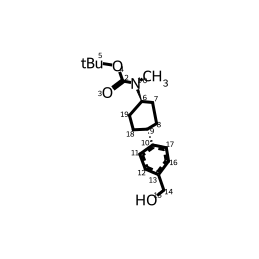 CN(C(=O)OC(C)(C)C)[C@H]1CC[C@H](c2ccc(CO)cc2)CC1